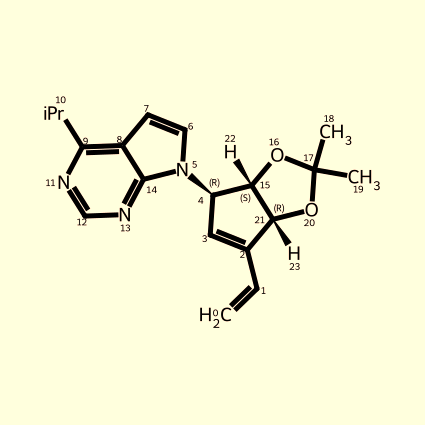 C=CC1=C[C@@H](n2ccc3c(C(C)C)ncnc32)[C@@H]2OC(C)(C)O[C@H]12